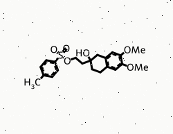 COc1cc2c(cc1OC)CC(O)(CCOS(=O)(=O)c1ccc(C)cc1)CC2